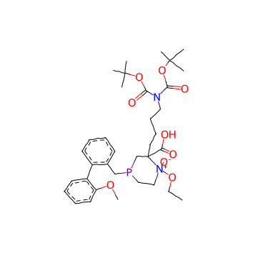 CCO[N+]1([O-])CCP(Cc2ccccc2-c2ccccc2OC)CC1(CCCCN(C(=O)OC(C)(C)C)C(=O)OC(C)(C)C)C(=O)O